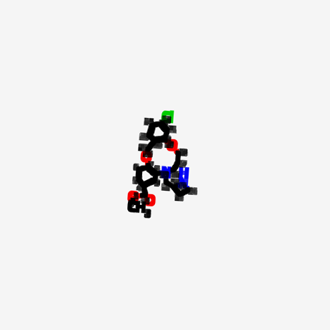 COC(=O)c1ccc2c(c1)N(C[C@@H]1CCN1)CCCOc1cc(Cl)ccc1CO2